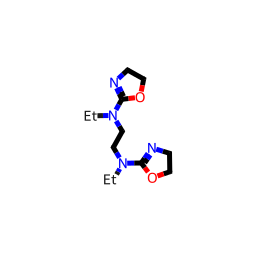 CCN(CCN(CC)C1=NCCO1)C1=NCCO1